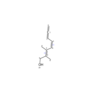 C=C=C/C=C\C(C)=C(/C)CO